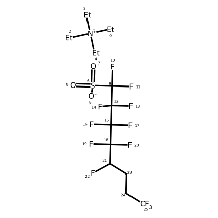 CC[N+](CC)(CC)CC.O=S(=O)([O-])C(F)(F)C(F)(F)C(F)(F)C(F)(F)C(F)CCC(F)(F)F